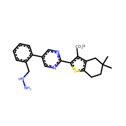 CC1(C)CCc2sc(-c3ncc(-c4ccccc4CNN)cn3)c(C(=O)O)c2C1